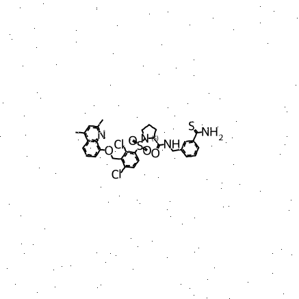 Cc1cc(C)c2cccc(OCc3c(Cl)ccc(S(=O)(=O)N4CCC[C@H]4C(=O)NCc4cccc(C(N)=S)c4)c3Cl)c2n1